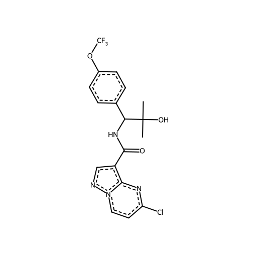 CC(C)(O)C(NC(=O)c1cnn2ccc(Cl)nc12)c1ccc(OC(F)(F)F)cc1